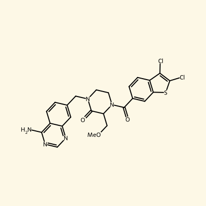 COCC1C(=O)N(Cc2ccc3c(N)ncnc3c2)CCN1C(=O)c1ccc2c(Cl)c(Cl)sc2c1